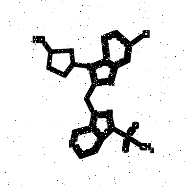 CS(=O)(=O)c1nn(Cc2nc3cc(Cl)ccc3n2C2CCC(O)C2)c2cnccc12